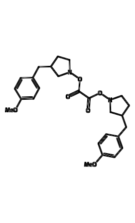 COc1ccc(CC2CCN(OC(=O)C(=O)ON3CCC(Cc4ccc(OC)cc4)C3)C2)cc1